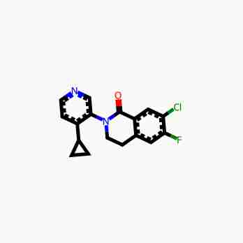 O=C1c2cc(Cl)c(F)cc2CCN1c1cnccc1C1CC1